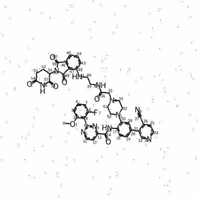 COc1cccc(F)c1-c1nccc(C(=O)Nc2ccc(-c3cnccc3C#N)cc2N2CCN(CC(=O)NCCNc3cccc4c3C(=O)N(C3CCC(=O)NC3=O)C4=O)CC2)n1